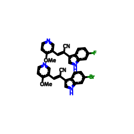 COc1ccncc1/C=C(\C#N)c1c[nH]c2cc(Br)ccc12.COc1ccncc1/C=C(\C#N)c1c[nH]c2cc(F)ccc12